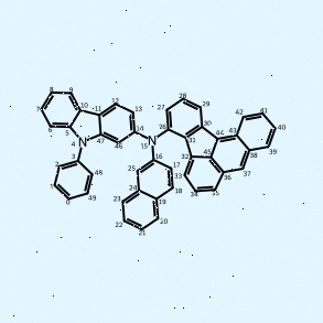 c1ccc(-n2c3ccccc3c3ccc(N(c4ccc5ccccc5c4)c4cccc5c4-c4cccc6cc7ccccc7c-5c46)cc32)cc1